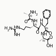 C[C@H](N)C(=O)N[C@@H](CCCNC(=N)N)C(=O)N[C@@H](Cc1ccccc1)C(=O)N[C@@H](C)C(=O)O